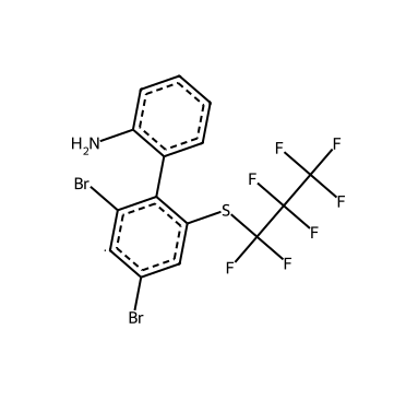 Nc1ccccc1-c1c(Br)[c]c(Br)cc1SC(F)(F)C(F)(F)C(F)(F)F